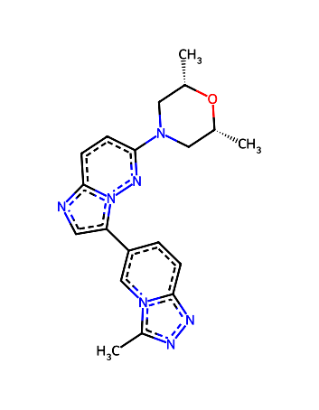 Cc1nnc2ccc(-c3cnc4ccc(N5C[C@@H](C)O[C@@H](C)C5)nn34)cn12